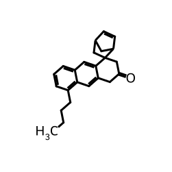 CCCCc1cccc2cc3c(cc12)CC(=O)CC31CC2C=CC1C2